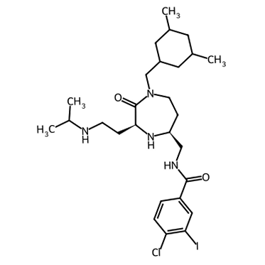 CC1CC(C)CC(CN2CC[C@@H](CNC(=O)c3ccc(Cl)c(I)c3)N[C@@H](CCNC(C)C)C2=O)C1